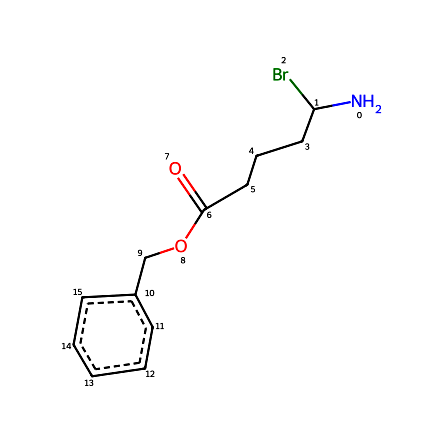 NC(Br)CCCC(=O)OCc1ccccc1